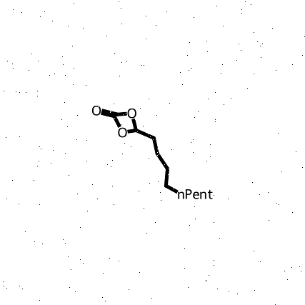 CCCCCCCCCC1OC(=O)O1